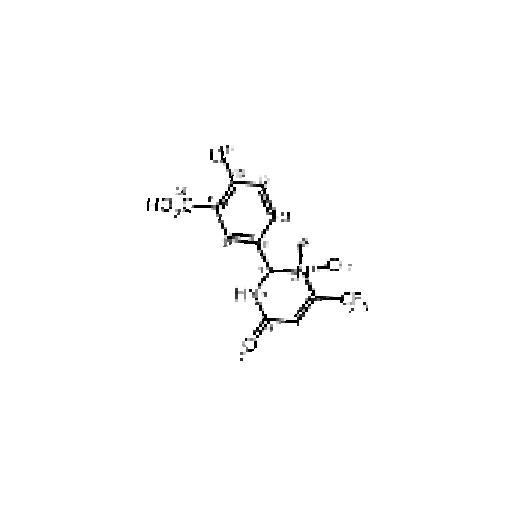 C[N+]1([O-])C(C(F)(F)F)=CC(=O)NC1c1ccc(Cl)c(C(=O)O)c1